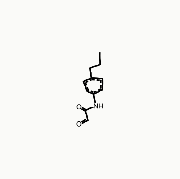 CCCc1ccc(NC(=O)C=O)cc1